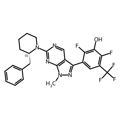 Cn1nc(-c2cc(C(F)(F)F)c(F)c(O)c2F)c2cnc(N3CCCC[C@H]3Cc3ccccc3)nc21